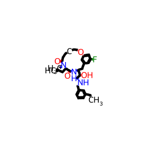 C#CCC1C(=O)NC(C(O)CNCc2cccc(CC)c2)Cc2cc(F)cc(c2)OCCCCCC(=O)N1C